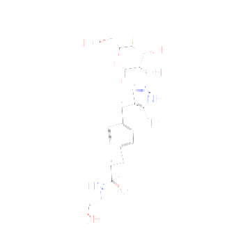 CC(C)c1[nH]nc(OC2OC(CO)C(F)C(O)C2O)c1Cc1ccc(CCC(=O)NCCO)cc1